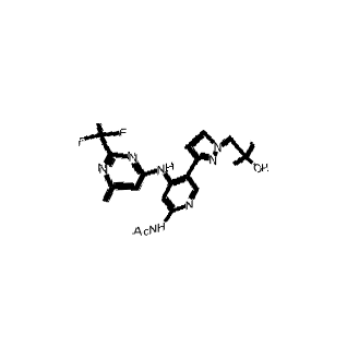 CC(=O)Nc1cc(Nc2cc(C)nc(C(C)(F)F)n2)c(-c2ccn(CC(C)(C)O)n2)cn1